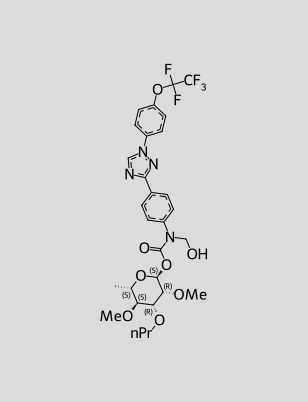 CCCO[C@@H]1[C@@H](OC)[C@H](C)O[C@@H](OC(=O)N(CO)c2ccc(-c3ncn(-c4ccc(OC(F)(F)C(F)(F)F)cc4)n3)cc2)[C@@H]1OC